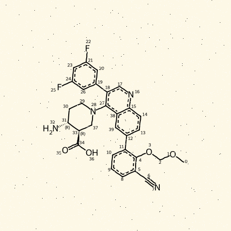 COCOc1c(C#N)cccc1-c1ccc2ncc(-c3cc(F)cc(F)c3)c(N3CC[C@@H](N)[C@H](C(=O)O)C3)c2c1